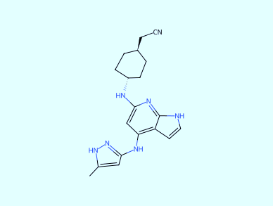 Cc1cc(Nc2cc(N[C@H]3CC[C@H](CC#N)CC3)nc3[nH]ccc23)n[nH]1